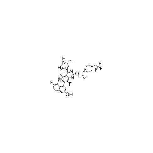 C#Cc1c(F)ccc2cc(O)cc(-c3nc4c5c(nc(OCC6(CN7CCC(CC(F)(F)F)CC7)CC6)nc5c3F)N3C[C@@H](CC)NC[C@H]3CC4)c12